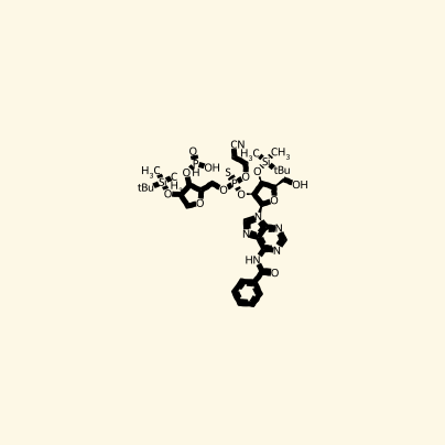 CC(C)(C)[Si](C)(C)OC1COC(COP(=S)(OCCC#N)O[C@@H]2[C@H](O[Si](C)(C)C(C)(C)C)[C@@H](CO)O[C@H]2n2cnc3c(NC(=O)c4ccccc4)ncnc32)C1O[PH](=O)O